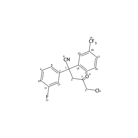 N#CC(CC(=O)CCl)(c1cccc(F)c1)c1cccc(C(F)(F)F)c1